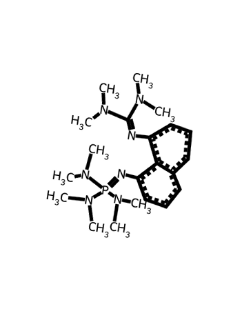 CN(C)C(=Nc1cccc2cccc(N=P(N(C)C)(N(C)C)N(C)C)c12)N(C)C